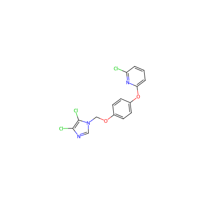 Clc1cccc(Oc2ccc(OCn3cnc(Cl)c3Cl)cc2)n1